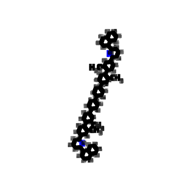 Cc1cc(-c2ccc(-c3ccc(-c4ccc(-c5ccc(-c6cccc(-c7cccc8ccccc78)n6)cc5C)c(C)c4)cc3)cc2)ccc1-c1ccc(-c2cccc(-c3cccc4ccccc34)n2)cc1C